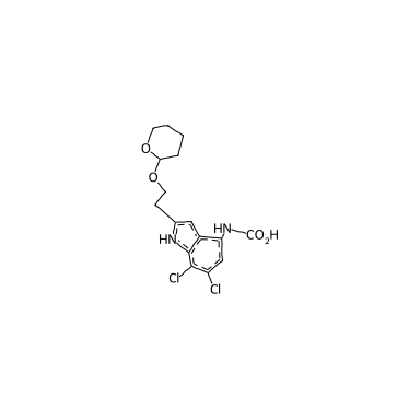 O=C(O)Nc1cc(Cl)c(Cl)c2[nH]c(CCOC3CCCCO3)cc12